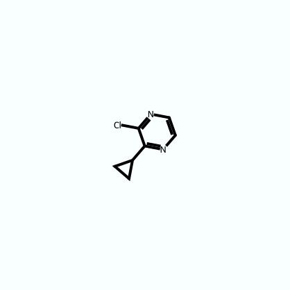 Clc1nccnc1C1CC1